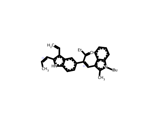 C=Cc1c(/C=C\C)[nH]c2ccc(/C(=C/c3c(C)n(C(C)CC)c4ccccc34)C(=C)CC)cc12